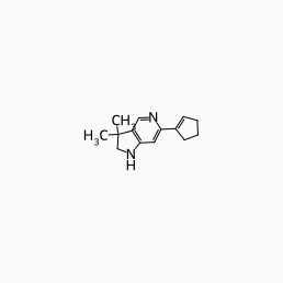 CC1(C)CNc2cc(C3=CCCC3)ncc21